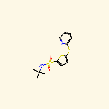 CC(C)(C)NS(=O)(=O)c1ccc(Sc2ccccn2)s1